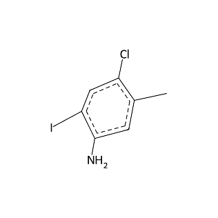 Cc1cc(N)c(I)cc1Cl